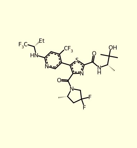 CC[C@H](Nc1cc(C(F)(F)F)c(-c2sc(C(=O)N[C@@H](C)C(C)(C)O)nc2C(=O)N2CC(F)(F)C[C@@H]2C)cn1)C(F)(F)F